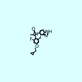 CC1C(=O)N(c2ccc3[nH]cnc3c2)C1c1c(F)cc(OCCC2CC2)cc1I